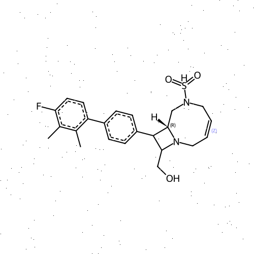 Cc1c(F)ccc(-c2ccc(C3C(CO)N4C/C=C\CN([SH](=O)=O)C[C@@H]34)cc2)c1C